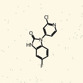 O=c1[nH]c2cc(F)ccc2n1-c1ccnc(Cl)c1